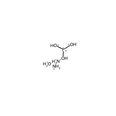 N.N.O.OP(O)O